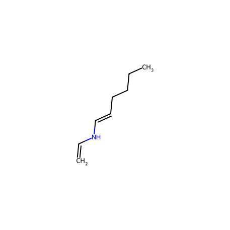 C=CN/C=C/CCCC